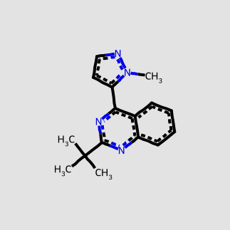 Cn1nccc1-c1nc(C(C)(C)C)nc2ccccc12